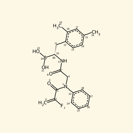 C=C(F)C(=O)N(CC(=O)N[C@@H](Cc1ccc(C)cc1C)B(O)O)c1ccccc1